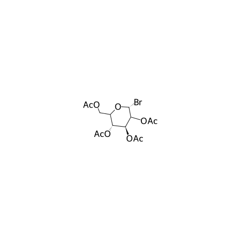 CC(=O)OCC1O[C@H](Br)C(OC(C)=O)[C@@H](OC(C)=O)[C@@H]1OC(C)=O